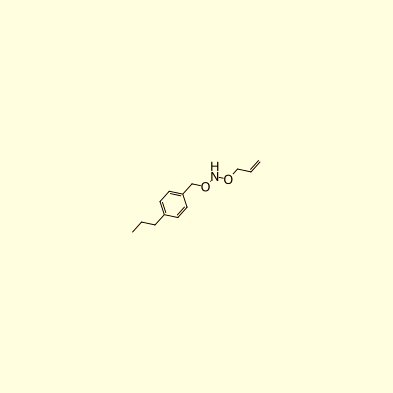 C=CCONOCc1ccc(CCC)cc1